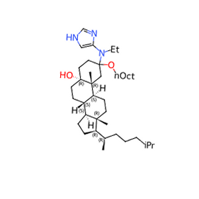 CCCCCCCCOC1(N(CC)c2c[nH]cn2)CC[C@]2(O)CC[C@H]3[C@@H]4CC[C@H]([C@H](C)CCCC(C)C)[C@@]4(C)CC[C@@H]3[C@@]2(C)C1